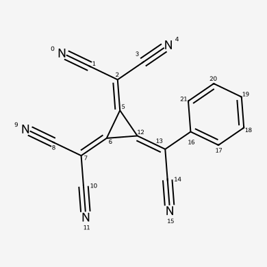 N#CC(C#N)=C1C(=C(C#N)C#N)C1=C(C#N)c1ccccc1